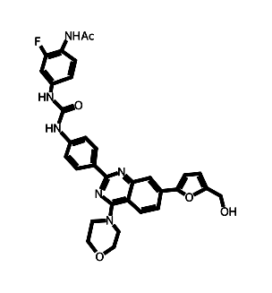 CC(=O)Nc1ccc(NC(=O)Nc2ccc(-c3nc(N4CCOCC4)c4ccc(-c5ccc(CO)o5)cc4n3)cc2)cc1F